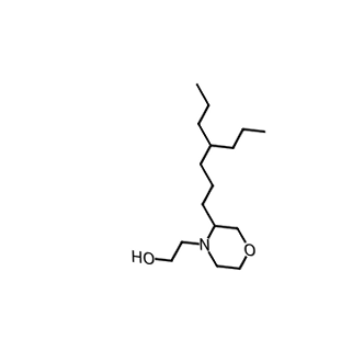 CCCC(CCC)CCCC1COCCN1CCO